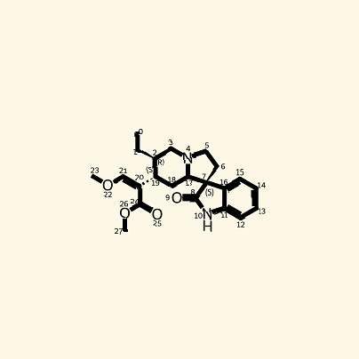 CC[C@H]1CN2CC[C@@]3(C(=O)Nc4ccccc43)C2C[C@@H]1C(=COC)C(=O)OC